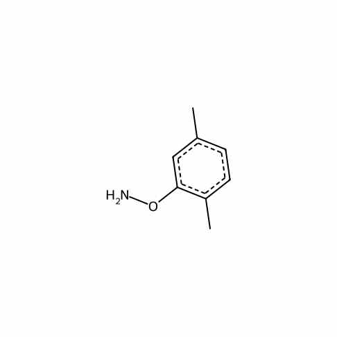 Cc1ccc(C)c(ON)c1